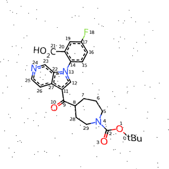 CC(C)(C)OC(=O)N1CCCC(C(=O)c2cn(-c3ccc(F)cc3C(=O)O)c3cnccc23)CC1